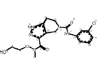 CN(OCCO)C(=O)c1n[nH]c2c1CN(C(=O)Nc1cccc(Cl)c1)CC2